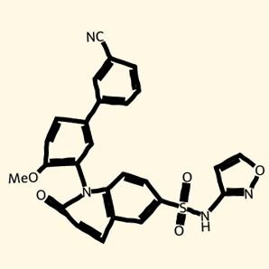 COc1ccc(-c2cccc(C#N)c2)cc1-n1c(=O)ccc2cc(S(=O)(=O)Nc3ccon3)ccc21